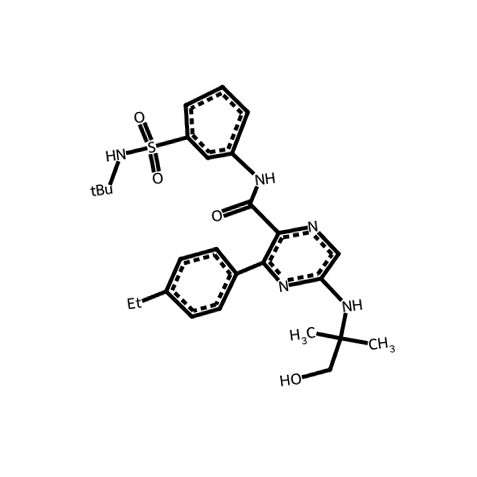 CCc1ccc(-c2nc(NC(C)(C)CO)cnc2C(=O)Nc2cccc(S(=O)(=O)NC(C)(C)C)c2)cc1